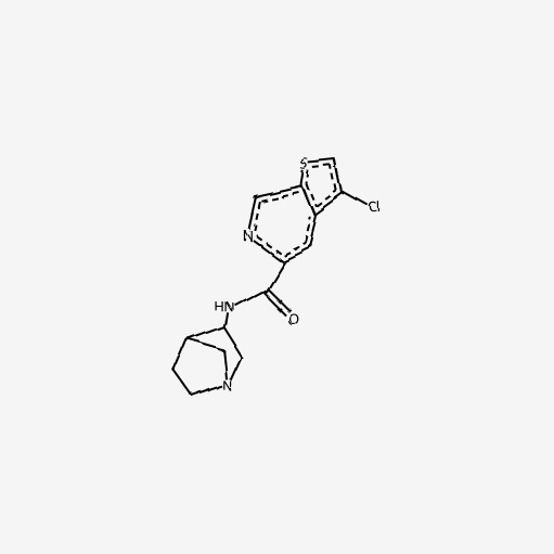 O=C(NC1CN2CCC1C2)c1cc2c(Cl)csc2cn1